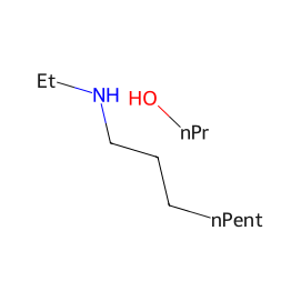 CCCCCCCCNCC.CCCO